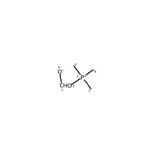 C[P+](C)(C)C.O=C[O-]